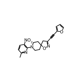 Cc1ccc([N+](=O)[O-])c(N2CCC3(CC2)CC(C#Cc2ccco2)=NO3)n1